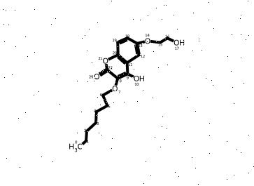 CCCCCCCOc1c(O)c2cc(OCCO)ccc2oc1=O